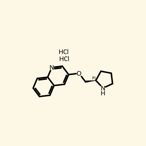 Cl.Cl.c1ccc2ncc(OC[C@H]3CCCN3)cc2c1